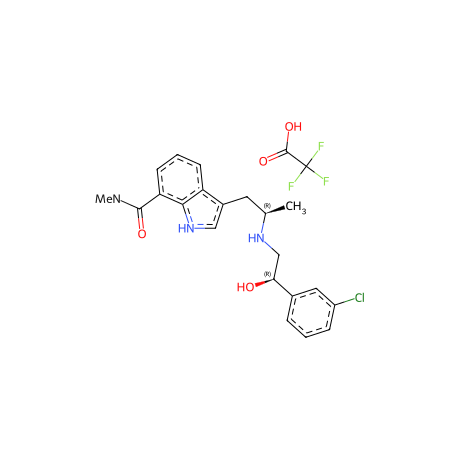 CNC(=O)c1cccc2c(C[C@@H](C)NC[C@H](O)c3cccc(Cl)c3)c[nH]c12.O=C(O)C(F)(F)F